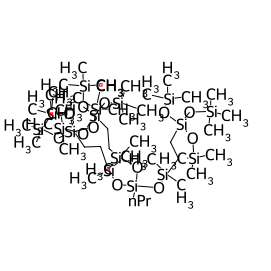 [CH2]CC[Si](O[Si](C)(C)CC[Si](O[Si](C)(C)C)(O[Si](C)(C)C)O[Si](C)(C)C)(O[Si](C)(C)CC[Si](O[Si](C)(C)C)(O[Si](C)(C)C)O[Si](C)(C)C)O[Si](C)(C)CC[Si](O[Si](C)(C)C)(O[Si](C)(C)C)O[Si](C)(C)C